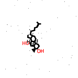 CC(C)=CCC[C@@H](C)[C@H]1CC[C@H]2[C@@H]3[C@@H](O)C=C4C5(CC5)[C@H](O)CC[C@]4(C)[C@H]3CC[C@]12C